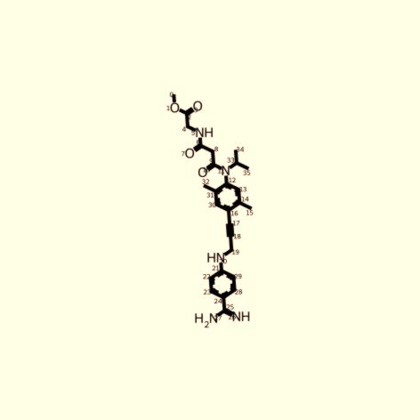 COC(=O)CNC(=O)CC(=O)N(c1cc(C)c(C#CCNc2ccc(C(=N)N)cc2)cc1C)C(C)C